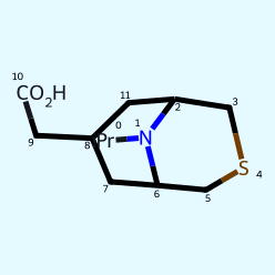 CC(C)N1C2CSCC1CC(CC(=O)O)C2